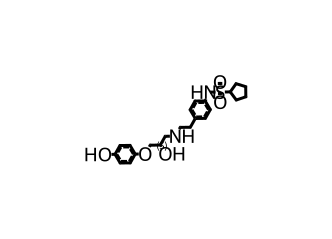 O=S(=O)(Nc1ccc(CCNC[C@H](O)COc2ccc(O)cc2)cc1)C1CCCC1